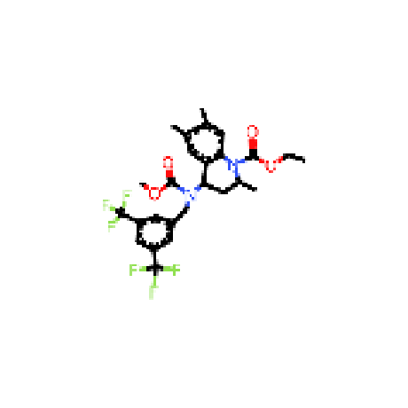 CCOC(=O)N1c2cc(C)c(C)cc2C(N(Cc2cc(C(F)(F)F)cc(C(F)(F)F)c2)C(=O)OC)CC1C